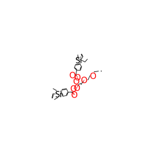 [CH2]COCCOC[C](OOC(=O)c1ccc([Si](C=C)(CC)CC)cc1)OOC(=O)c1ccc([Si](C=C)(CC)CC)cc1